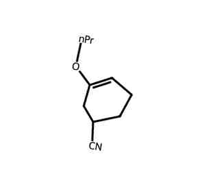 CCCOC1=CCCC(C#N)C1